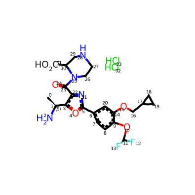 C[C@H](N)c1oc(-c2ccc(OC(F)F)c(OCC3CC3)c2)nc1C(=O)N1CCNCC1C(=O)O.Cl.Cl